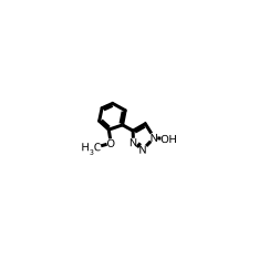 COc1ccccc1-c1cn(O)nn1